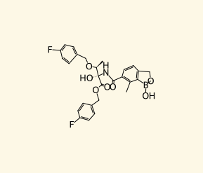 Cc1c(C(=O)N[C@@](O)(C(=O)OCc2ccc(F)cc2)[C@H](C)OCc2ccc(F)cc2)ccc2c1B(O)OC2